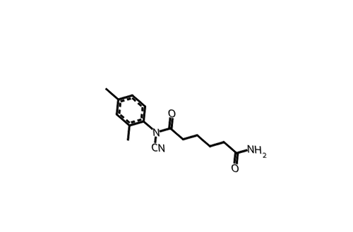 Cc1ccc(N(C#N)C(=O)CCCCC(N)=O)c(C)c1